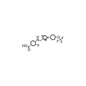 O=C(O)c1ccc(NCc2ncn(-c3ccc(OC(F)(F)F)cc3)n2)c(F)c1